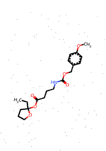 CCC1(OC(=O)CCCNC(=O)OCc2ccc(OC)cc2)CCCO1